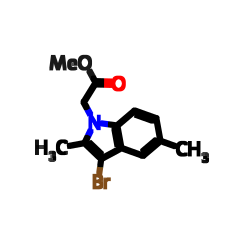 COC(=O)Cn1c(C)c(Br)c2cc(C)ccc21